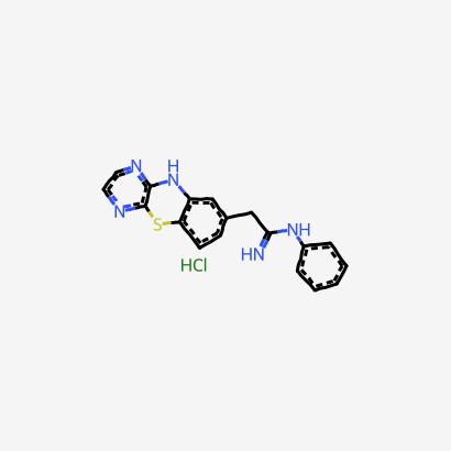 Cl.N=C(Cc1ccc2c(c1)Nc1nccnc1S2)Nc1ccccc1